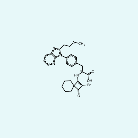 CSCCc1nc2cccnc2n1-c1ccc(C[C@H](NC2=C(Br)C(=O)C23CCCCC3)C(=O)O)cc1